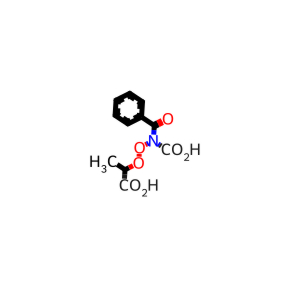 CC(OON(C(=O)O)C(=O)c1ccccc1)C(=O)O